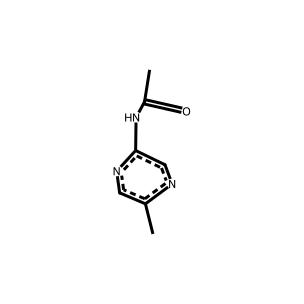 CC(=O)Nc1cnc(C)cn1